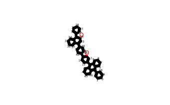 c1ccc(-c2c3ccccc3c(-c3ccc4c(c3)oc3cc(-c5cc6oc7ccccc7c6c6ccccc56)ccc34)c3ccccc23)cc1